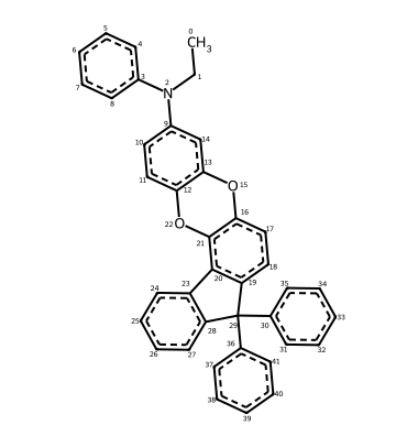 CCN(c1ccccc1)c1ccc2c(c1)Oc1ccc3c(c1O2)-c1ccccc1C3(c1ccccc1)c1ccccc1